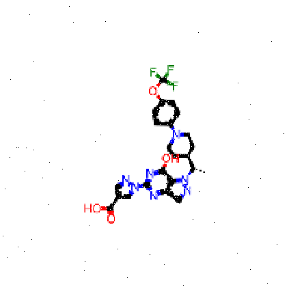 C[C@@H](C1CCN(c2ccc(OC(F)(F)F)cc2)CC1)n1ncc2nc(-n3cc(C(=O)O)cn3)nc(O)c21